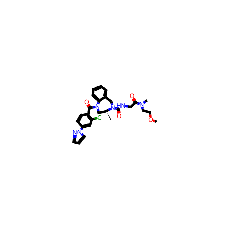 COCCN(C)C(=O)CNC(=O)N1Cc2ccccc2N(C(=O)c2ccc(-n3cccn3)cc2Cl)C[C@H]1C